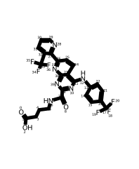 O=C(O)CCCNC(=O)c1nc(Nc2ccc(C(F)(F)F)cc2)c2ccc(-c3ncccc3C(F)(F)F)nc2n1